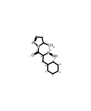 CC1CC=NN1C(=O)C(CC1CCCCC1)N=N